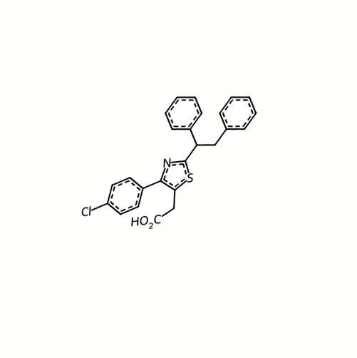 O=C(O)Cc1sc(C(Cc2ccccc2)c2ccccc2)nc1-c1ccc(Cl)cc1